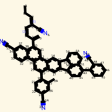 C=C(/C=C\C(C#N)=C/CC)c1cc2c3cc4c(cc3c(-c3ccc(C#N)cc3C)cc2c2ccc(C#N)cc12)-c1ccc(-c2ccccc2C#N)c2cccc-4c12